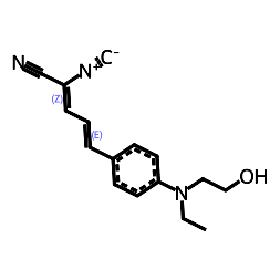 [C-]#[N+]/C(C#N)=C\C=C\c1ccc(N(CC)CCO)cc1